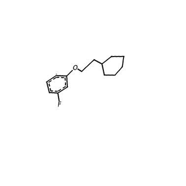 Fc1cc[c]c(OCCC2CCCCC2)c1